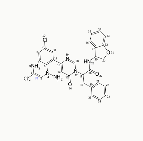 N/C(Cl)=C\N(N)c1ccc(Cl)cc1-c1cc(=O)n(C(Cc2ccccc2)C(=O)NC2COc3ccccc32)cn1